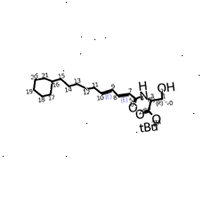 C[C@@H](O)[C@H](NC(=O)/C=C/C=C/CCCCCC1CCCCC1)C(=O)OC(C)(C)C